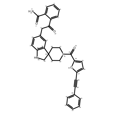 NC(=O)c1ccccc1C(=O)Cc1ccc2c(c1)C1(CCN(C(=O)c3ccc(C#Cc4ccccc4)o3)CC1)CN2